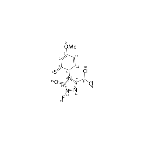 COC1=CC(=S)C(n2c(C(Cl)Cl)nn(F)c2=O)C=C1